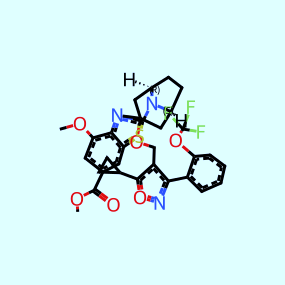 COC(=O)c1cc(OC)c2nc(N3[C@@H]4CC[C@H]3CC(C)(OCc3c(-c5ccccc5OC(F)(F)F)noc3C3CC3)C4)sc2c1